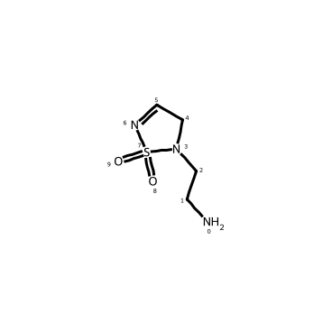 NCCN1CC=NS1(=O)=O